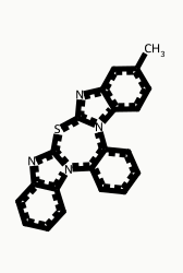 Cc1ccc2c(c1)nc1sc3nc4ccccc4n3c3ccccc3n12